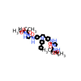 COC(=O)N[C@H](C(=O)N1CCC[C@H]1C(=O)Nc1ccc(C2CCC(c3ccc(NC(=O)[C@@H]4CCCN4C(=O)[C@@H](NC(=O)OC)C(C)C)cc3)N2c2ccc(-c3ccccc3)cc2)cc1)C(C)C